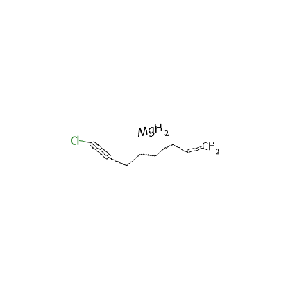 C=CCCCCC#CCl.[MgH2]